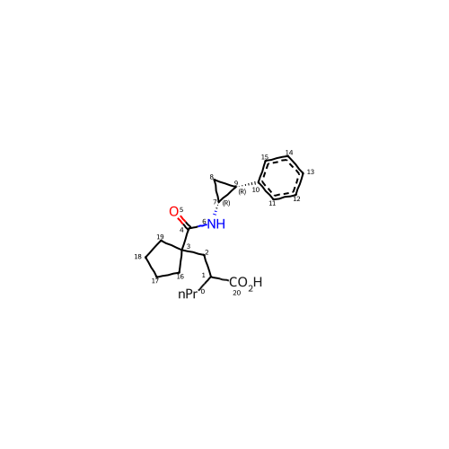 CCCC(CC1(C(=O)N[C@@H]2C[C@@H]2c2ccccc2)CCCC1)C(=O)O